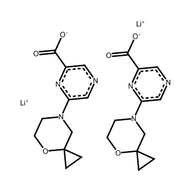 O=C([O-])c1cncc(N2CCOC3(CC3)C2)n1.O=C([O-])c1cncc(N2CCOC3(CC3)C2)n1.[Li+].[Li+]